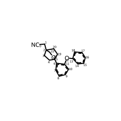 N#CCC12CCC(c3ccccc3Oc3ccccc3)(CC1)OC2